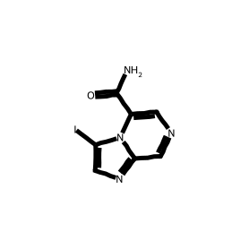 NC(=O)c1cncc2ncc(I)n12